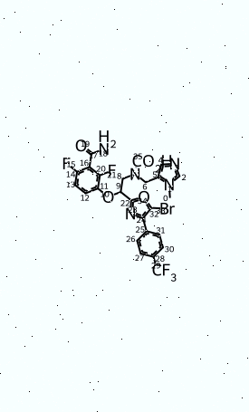 Cn1cncc1CN(CC(Oc1ccc(F)c(C(N)=O)c1F)c1nc(-c2ccc(C(F)(F)F)cc2)c(Br)o1)C(=O)O